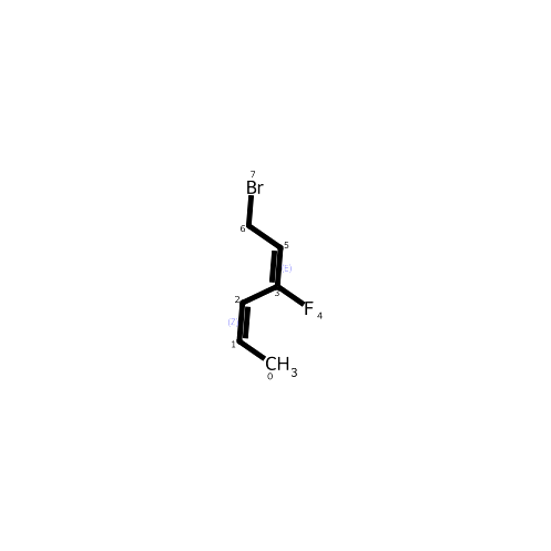 C/C=C\C(F)=C/CBr